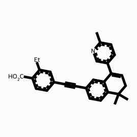 CCc1cc(C#Cc2ccc3c(c2)C(c2ccc(C)nc2)=CCC3(C)C)ccc1C(=O)O